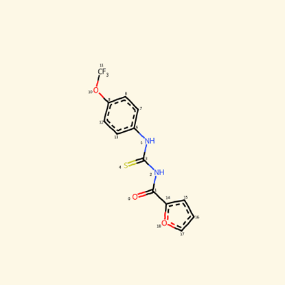 O=C(NC(=S)Nc1ccc(OC(F)(F)F)cc1)c1ccco1